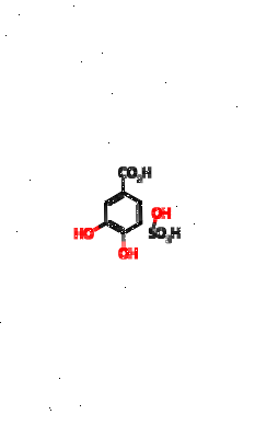 O=C(O)c1ccc(O)c(O)c1.O=S(=O)(O)O